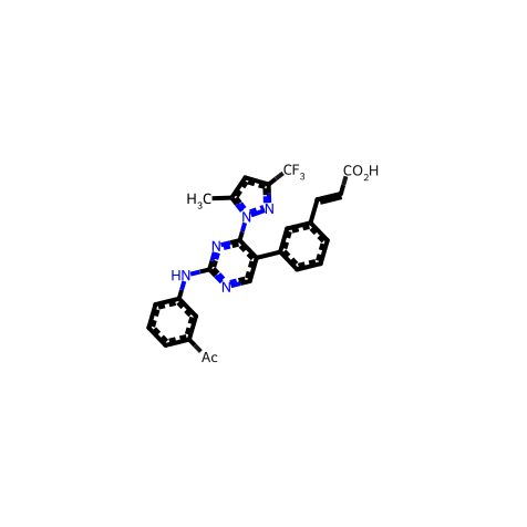 CC(=O)c1cccc(Nc2ncc(-c3cccc(C=CC(=O)O)c3)c(-n3nc(C(F)(F)F)cc3C)n2)c1